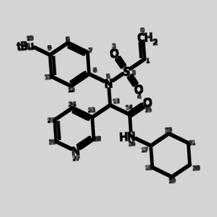 C=CS(=O)(=O)N(c1ccc(C(C)(C)C)cc1)C(C(=O)NC1CCCCC1)c1cccnc1